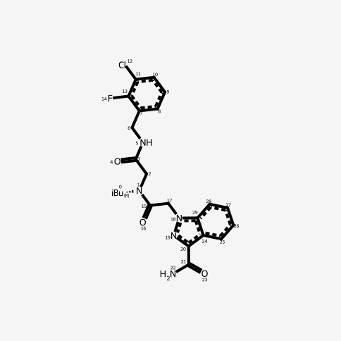 CC[C@@H](C)N(CC(=O)NCc1cccc(Cl)c1F)C(=O)Cn1nc(C(N)=O)c2ccccc21